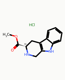 COC(=O)[C@@H]1Cc2c([nH]c3ccccc23)CN1.Cl